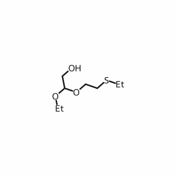 CCOC(CO)OCCSCC